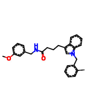 COc1cccc(CNC(=O)CCCc2cn(Cc3ccccc3C)c3ccccc23)c1